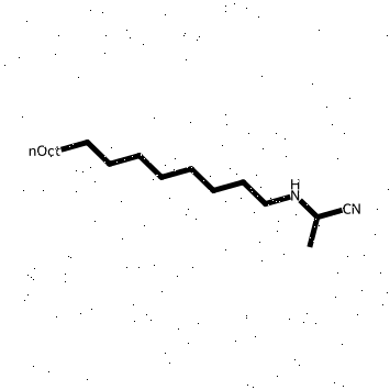 CCCCCCCCCCCCCCCCNC(C)C#N